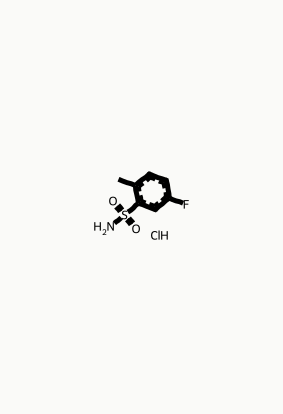 Cc1ccc(F)cc1S(N)(=O)=O.Cl